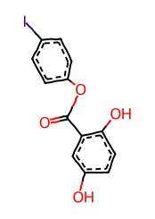 O=C(Oc1ccc(I)cc1)c1cc(O)ccc1O